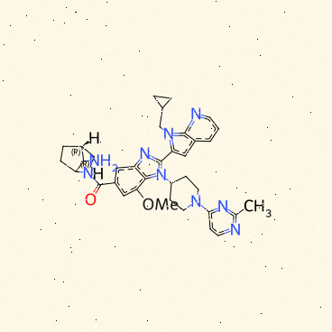 COc1cc(C(=O)N2C[C@H]3CCC2[C@@H]3N)cc2nc(-c3cc4cccnc4n3CC3CC3)n(C3CCN(c4ccnc(C)n4)CC3)c12